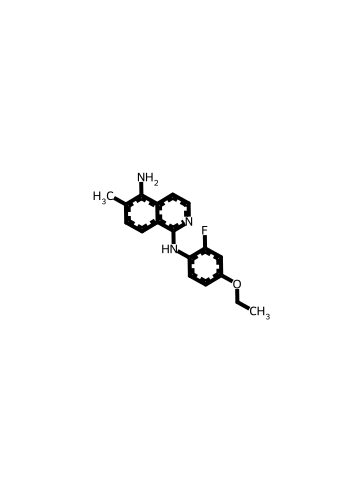 CCOc1ccc(Nc2nccc3c(N)c(C)ccc23)c(F)c1